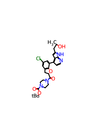 CC(O)Cc1cc2c(-c3cc(Cl)cc4c3OC(C(=O)N3CCN(C(=O)OC(C)(C)C)CC3)C4)ccnc2[nH]1